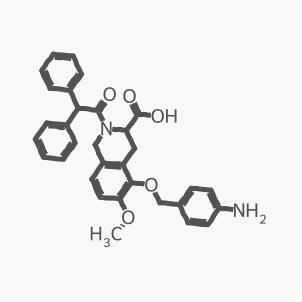 COc1ccc2c(c1OCc1ccc(N)cc1)CC(C(=O)O)N(C(=O)C(c1ccccc1)c1ccccc1)C2